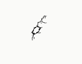 CCc1ccc(CN(C)C(C)C)cc1